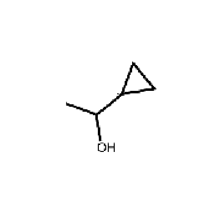 CC(O)[C]1CC1